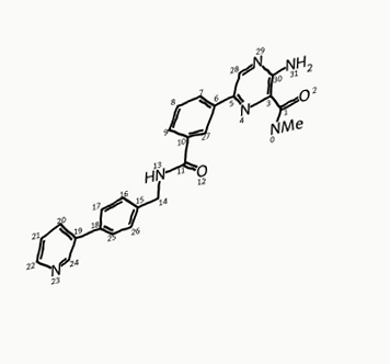 CNC(=O)c1nc(-c2cccc(C(=O)NCc3ccc(-c4cccnc4)cc3)c2)cnc1N